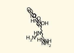 N=C(N)NCCCC(CCCN1C=CC(NC(=O)c2ccc(N3CCOCC3)nc2)=NC1O)NCCCN